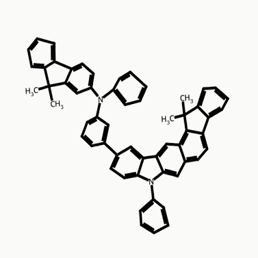 CC1(C)c2ccccc2-c2ccc(N(c3ccccc3)c3cccc(-c4ccc5c(c4)c4cc6c7c(ccc6cc4n5-c4ccccc4)-c4ccccc4C7(C)C)c3)cc21